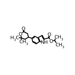 CC(C)OC(=O)c1cc2cc(C3CC(=O)OC(C)(C)C3)ccc2[nH]1